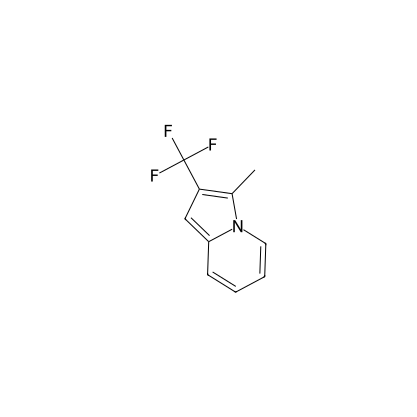 Cc1c(C(F)(F)F)cc2ccccn12